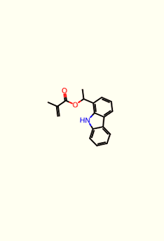 C=C(C)C(=O)OC(C)c1cccc2c1[nH]c1ccccc12